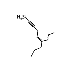 CCCC(=CCC#C[SiH3])CCC